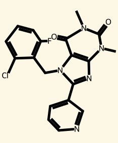 Cn1c(=O)c2c(nc(-c3cccnc3)n2Cc2c(F)cccc2Cl)n(C)c1=O